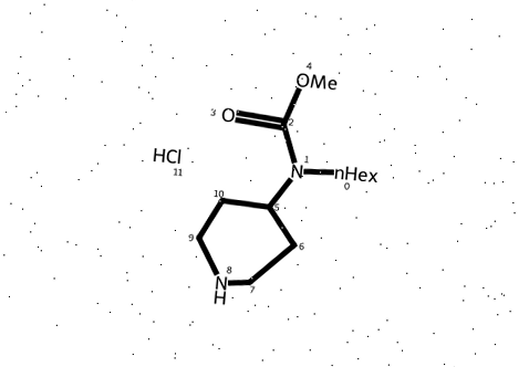 CCCCCCN(C(=O)OC)C1CCNCC1.Cl